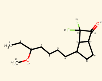 CCC(CCCCC1CCC2C(=O)C(F)(F)C12)OC